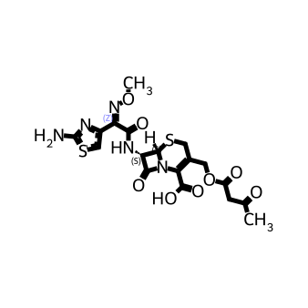 CO/N=C(\C(=O)N[C@H]1C(=O)N2C(C(=O)O)=C(COC(=O)CC(C)=O)CS[C@@H]12)c1csc(N)n1